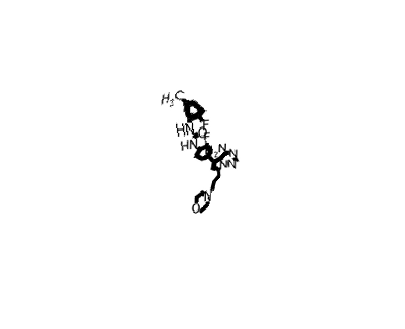 Cc1ccc(F)c(NC(=O)Nc2ccc(-c3cc(CCCN4CCOCC4)n4ncnc(N)c34)cc2F)c1